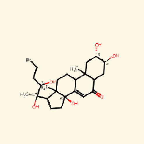 CC(C)CC[C@@H](O)[C@](C)(O)C1CC[C@@]2(O)C3=CC(=O)C4C[C@@H](O)[C@@H](O)CC4(C)C3CCC12C